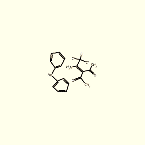 B(c1ccccc1)c1ccccc1.CC(=O)C(C(C)=O)=C(N)C(Cl)(Cl)Cl